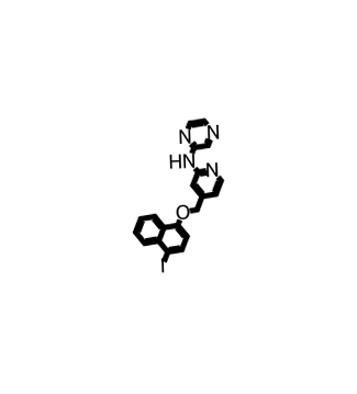 Ic1ccc(OCc2ccnc(Nc3cnccn3)c2)c2ccccc12